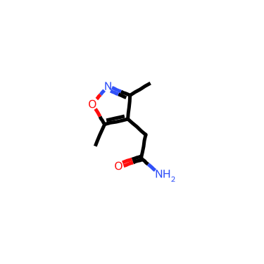 Cc1noc(C)c1CC(N)=O